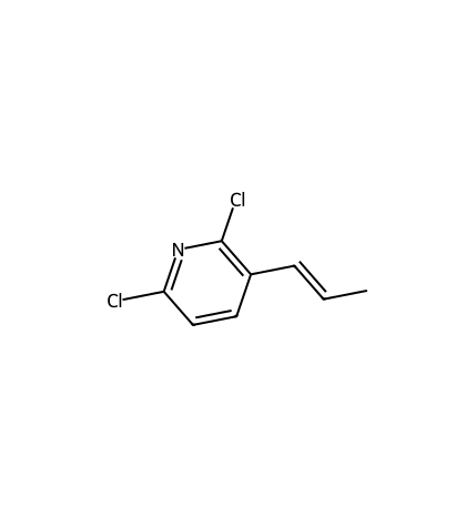 C/C=C/c1ccc(Cl)nc1Cl